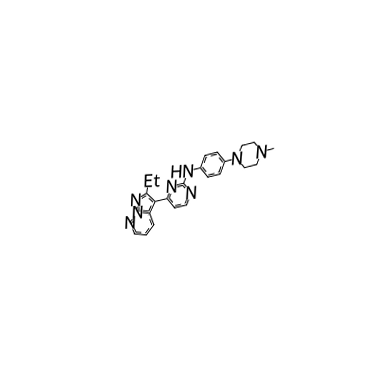 CCc1nn2ncccc2c1-c1ccnc(Nc2ccc(N3CCN(C)CC3)cc2)n1